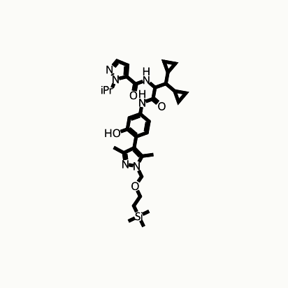 Cc1nn(COCC[Si](C)(C)C)c(C)c1-c1ccc(NC(=O)C(NC(=O)c2ccnn2C(C)C)C(C2CC2)C2CC2)cc1O